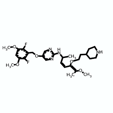 CO/C(C)=C(/C=C\C(C)Nc1ncc(OCc2c(F)c(OC)cc(OC)c2F)cn1)OCCC1CCNCC1